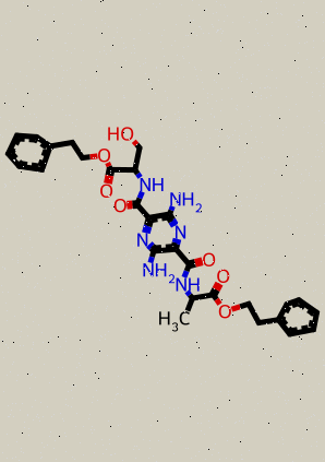 CC(NC(=O)c1nc(N)c(C(=O)NC(CO)C(=O)OCCc2ccccc2)nc1N)C(=O)OCCc1ccccc1